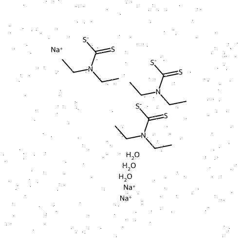 CCN(CC)C(=S)[S-].CCN(CC)C(=S)[S-].CCN(CC)C(=S)[S-].O.O.O.[Na+].[Na+].[Na+]